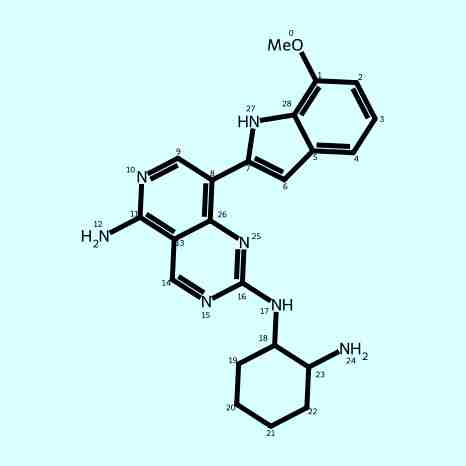 COc1cccc2cc(-c3cnc(N)c4cnc(NC5CCCCC5N)nc34)[nH]c12